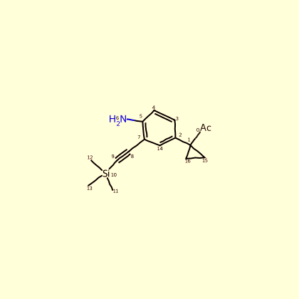 CC(=O)C1(c2ccc(N)c(C#C[Si](C)(C)C)c2)CC1